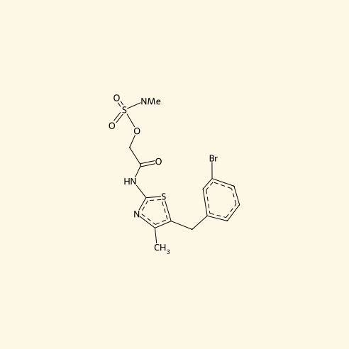 CNS(=O)(=O)OCC(=O)Nc1nc(C)c(Cc2cccc(Br)c2)s1